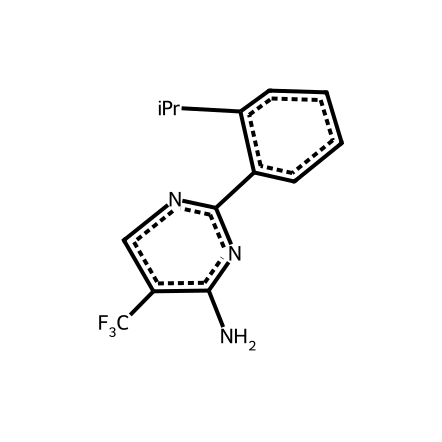 CC(C)c1ccccc1-c1ncc(C(F)(F)F)c(N)n1